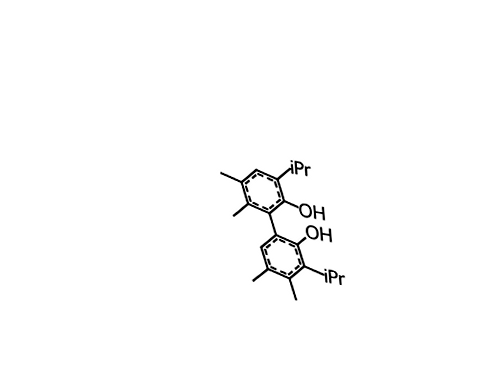 Cc1cc(C(C)C)c(O)c(-c2cc(C)c(C)c(C(C)C)c2O)c1C